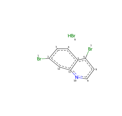 Br.Brc1ccc2c(Br)ccnc2c1